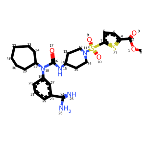 COC(=O)c1ccc(S(=O)(=O)N2CCC(NC(=O)N(c3cccc(C(=N)N)c3)C3CCCCCC3)CC2)s1